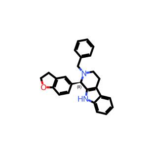 c1ccc(CN2CCc3c([nH]c4ccccc34)[C@H]2c2ccc3c(c2)CCO3)cc1